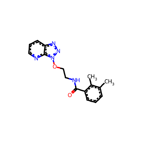 Cc1cccc(C(=O)NCCOn2nnc3cccnc32)c1C